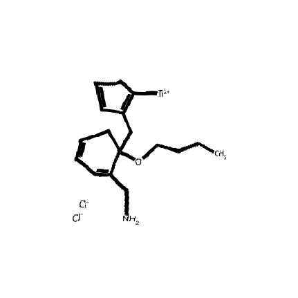 CCCCOC1(CC2=[C]([Ti+2])CC=C2)CC=CC=C1CN.[Cl-].[Cl-]